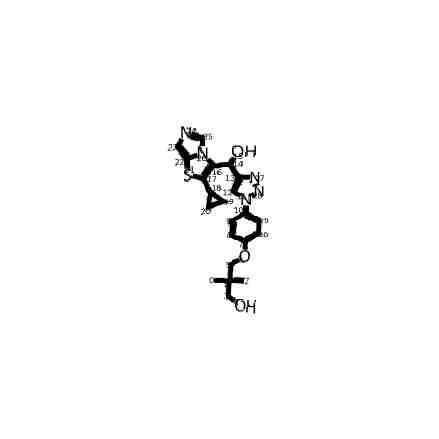 CC(C)(CO)COc1ccc(-n2cc(C(O)c3c(C4CC4)sc4cncn34)nn2)cc1